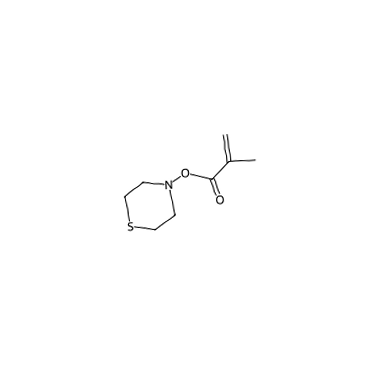 C=C(C)C(=O)ON1CCSCC1